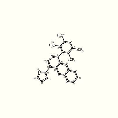 FC(F)(F)c1cc(C(F)(F)F)c(C(F)(F)F)c(-c2nnc(-c3ccco3)c3cc4ccccc4cc23)c1C(F)(F)F